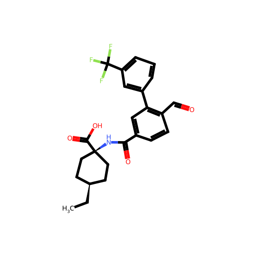 CC[C@H]1CC[C@](NC(=O)c2ccc(C=O)c(-c3cccc(C(F)(F)F)c3)c2)(C(=O)O)CC1